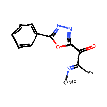 CON=C(C(=O)c1nnc(-c2ccccc2)o1)C(C)C